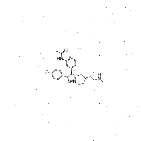 CNCCN1CCn2nc(-c3ccc(F)cc3)c(-c3ccnc(NC(C)=O)c3)c2C1